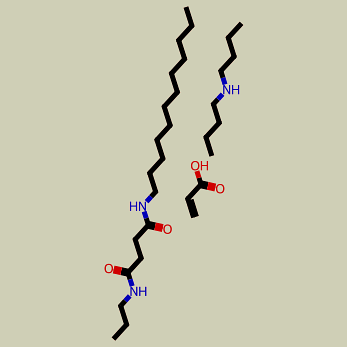 C=CC(=O)O.CCCCCCCCCCCCNC(=O)CCC(=O)NCCC.CCCCNCCCC